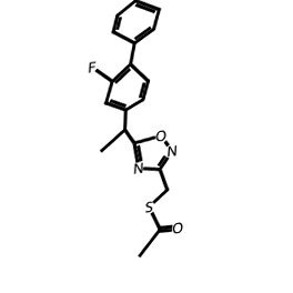 CC(=O)SCc1noc(C(C)c2ccc(-c3ccccc3)c(F)c2)n1